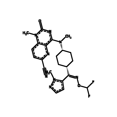 Cn1nccc1/C(=N\OC(F)F)[C@H]1CC[C@@H](N(C)c2nc(=O)n(C)c3ccc(C#N)nc23)CC1